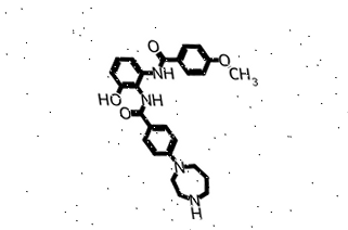 COc1ccc(C(=O)Nc2cccc(O)c2NC(=O)c2ccc(N3CCCNCC3)cc2)cc1